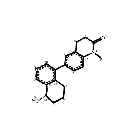 CN1C(=O)CCc2cc(-c3cncc4c3CCC[C@@H]4O)ccc21